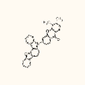 Cc1ccc2c(=O)c3ccc(-n4c5ccccc5c5c6oc7ccccc7c6ccc54)cc3oc2c1C